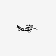 COCCCC(=O)N/C(=N/O)c1cnn2c(C3CCN(C(=O)OC(C)(C)C)CC3)cc(=O)[nH]c12